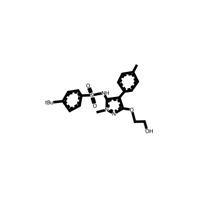 Cc1ccc(-c2c(OCCO)nn(C)c2NS(=O)(=O)c2ccc(C(C)(C)C)cc2)cc1